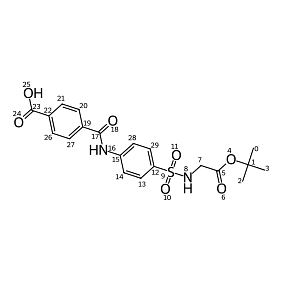 CC(C)(C)OC(=O)CNS(=O)(=O)c1ccc(NC(=O)c2ccc(C(=O)O)cc2)cc1